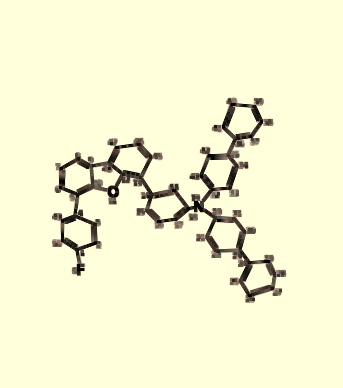 Fc1ccc(-c2cccc3c2oc2c(-c4cccc(N(c5ccc(-c6ccccc6)cc5)c5ccc(-c6ccccc6)cc5)c4)cccc23)cc1